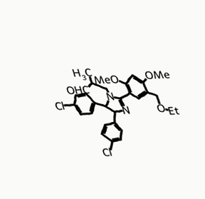 CCOCc1cc(C2=NC(c3ccc(Cl)cc3)C(c3ccc(Cl)cc3)N2CC(C)C=O)c(OC)cc1OC